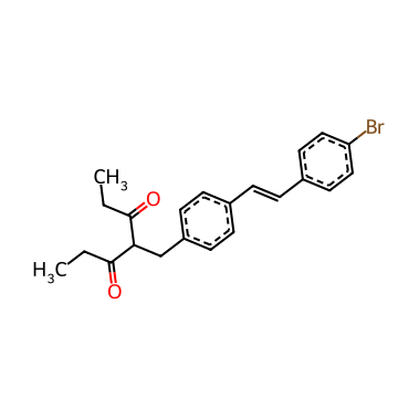 CCC(=O)C(Cc1ccc(/C=C/c2ccc(Br)cc2)cc1)C(=O)CC